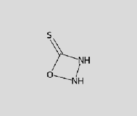 S=c1[nH][nH]o1